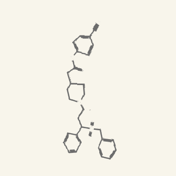 C[C@H](CC(c1ccccc1)S(=O)(=O)Cc1ccccc1)N1CCC(CC(=O)Nc2ccc(C#N)cc2)CC1